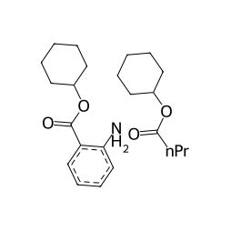 CCCC(=O)OC1CCCCC1.Nc1ccccc1C(=O)OC1CCCCC1